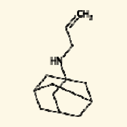 C=CCNC12CC3CC(CC(C3)C1)C2